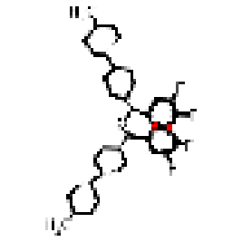 C[C@H]1CC[C@H]([C@H]2CC[C@H](C(OC(c3ccc(F)c(F)c3)[C@H]3CC[C@H]([C@H]4CC[C@H](C)CC4)CC3)c3ccc(F)c(F)c3)CC2)CC1